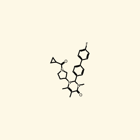 CC1=C(C)N(C2CCN(C(=O)C3CC3)C2)C(c2ccc(-c3ccc(F)cc3)cc2)N(C)C1=O